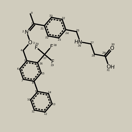 CC(=NOCc1ccc(-c2ccccc2)cc1C(F)(F)F)c1ccc(CNCCC(=O)O)cc1